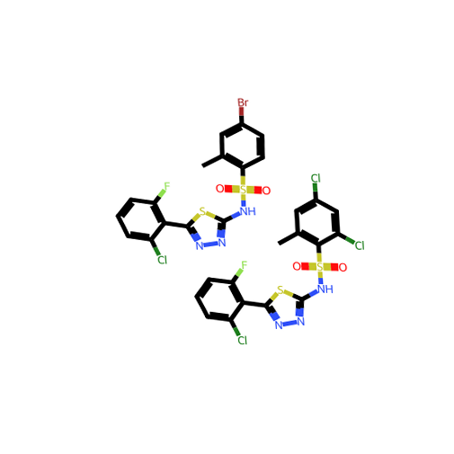 Cc1cc(Br)ccc1S(=O)(=O)Nc1nnc(-c2c(F)cccc2Cl)s1.Cc1cc(Cl)cc(Cl)c1S(=O)(=O)Nc1nnc(-c2c(F)cccc2Cl)s1